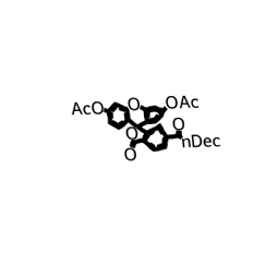 CCCCCCCCCCC(=O)c1ccc2c(c1)C1(OC2=O)c2ccc(OC(C)=O)cc2Oc2cc(OC(C)=O)ccc21